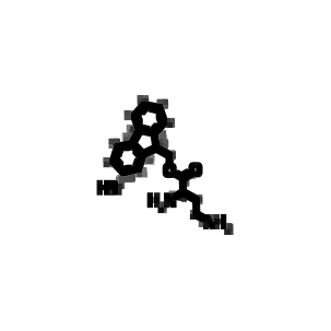 Br.NCCC(N)C(=O)OCC1c2ccccc2-c2ccccc21